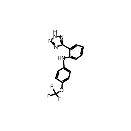 FC(F)(F)Oc1ccc(Nc2ccccc2-c2nn[nH]n2)cc1